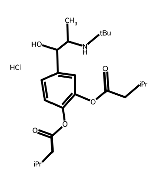 CC(C)CC(=O)Oc1ccc(C(O)C(C)NC(C)(C)C)cc1OC(=O)CC(C)C.Cl